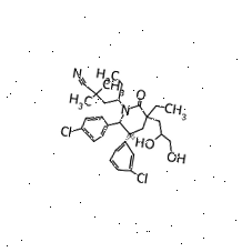 CCC(CC(C)(C)C#N)N1C(=O)C(CC)(CC(O)CO)C[C@H](c2cccc(Cl)c2)C1c1ccc(Cl)cc1